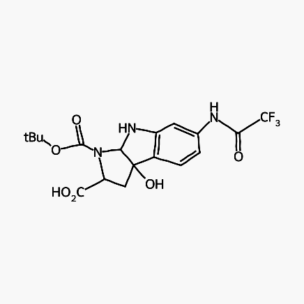 CC(C)(C)OC(=O)N1C(C(=O)O)CC2(O)c3ccc(NC(=O)C(F)(F)F)cc3NC12